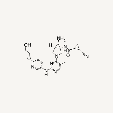 Cc1cnc(Nc2ccc(OCCO)nc2)nc1N1C[C@H]2[C@@H](N)[C@@]2(NC(=O)[C@H]2C[C@@H]2C#N)C1